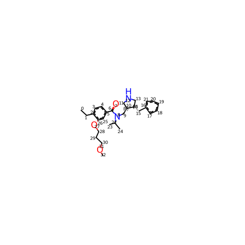 CCc1ccc(C(=O)N(C[C@H]2CNC[C@@H]2Cc2ccccc2)C(C)C)cc1OCCCOC